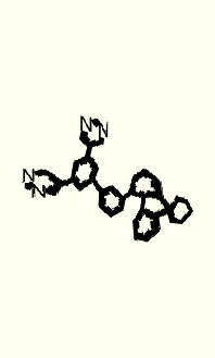 c1cc(-c2cc(-c3cncnc3)cc(-c3cncnc3)c2)cc(-c2cccc3c2-c2ccccc2C32CCCCC2)c1